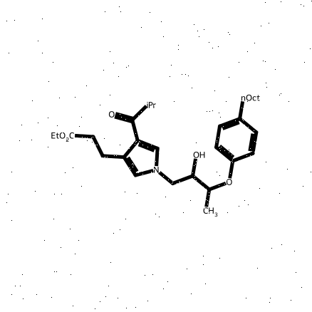 CCCCCCCCc1ccc(OC(C)C(O)Cn2cc(CCC(=O)OCC)c(C(=O)C(C)C)c2)cc1